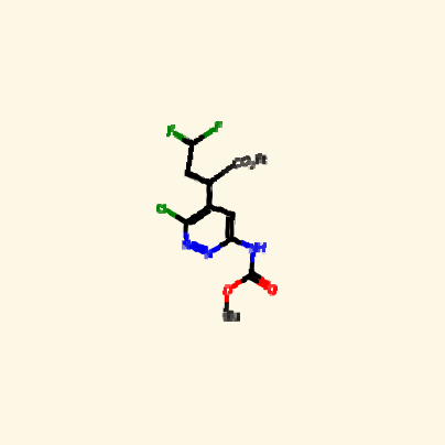 CCOC(=O)C(CC(F)F)c1cc(NC(=O)OC(C)(C)C)nnc1Cl